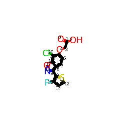 O=C(O)COc1ccc2c(-c3sccc3F)noc2c1Cl